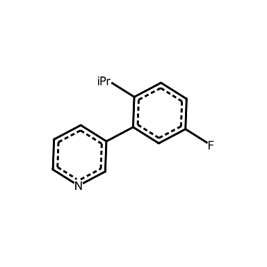 CC(C)c1ccc(F)cc1-c1cccnc1